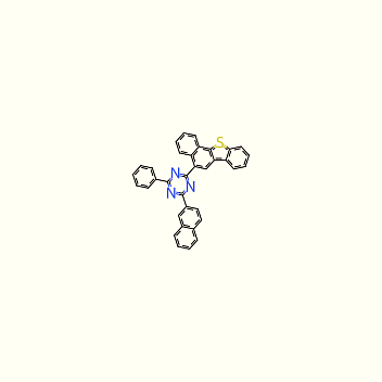 c1ccc(-c2nc(-c3ccc4ccccc4c3)nc(-c3cc4c5ccccc5sc4c4ccccc34)n2)cc1